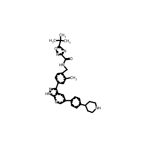 Cc1cc(-c2n[nH]c3ncc(-c4ccc(C5CCNCC5)cc4)cc23)ccc1CNC(=O)c1noc(C(C)(C)C)n1